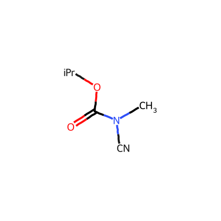 CC(C)OC(=O)N(C)C#N